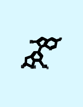 Cc1cc(-n2c(C(C)C)cc3cc(F)cnc32)cc2c1NC(=O)C2